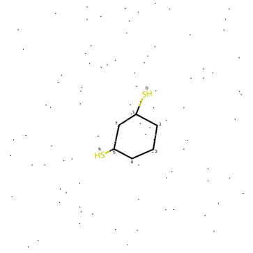 SC1CCCC(S)C1